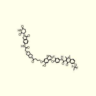 COc1cc2c(Oc3ccc(NC(=O)c4c(C)n(C)c5ccc(OC(F)(F)F)cc5c4=O)cc3F)ncnc2cc1OCCCC(=O)N1CC2CN(CC(=O)Nc3ccc4c(c3)CN(C3CCC(=O)NC3=O)C4=O)CC2C1